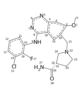 COc1cc2ncnc(Nc3cccc(Cl)c3F)c2cc1CN1CC[C@H](C(N)=O)C1